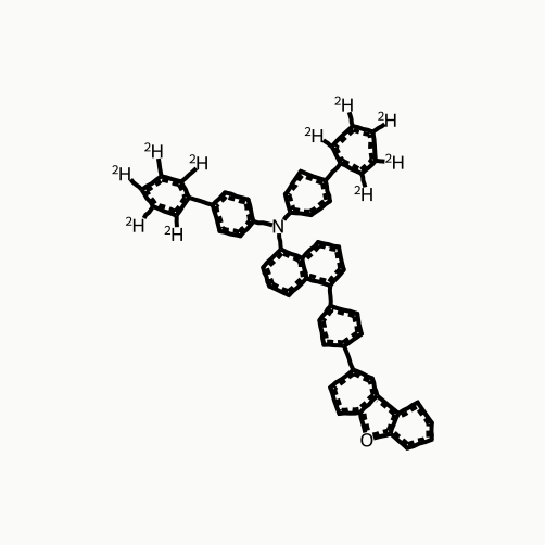 [2H]c1c([2H])c([2H])c(-c2ccc(N(c3ccc(-c4c([2H])c([2H])c([2H])c([2H])c4[2H])cc3)c3cccc4c(-c5ccc(-c6ccc7oc8ccccc8c7c6)cc5)cccc34)cc2)c([2H])c1[2H]